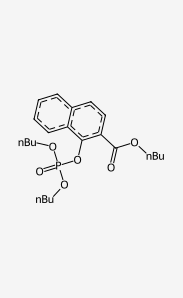 CCCCOC(=O)c1ccc2ccccc2c1OP(=O)(OCCCC)OCCCC